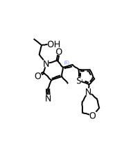 CC1=C(C#N)C(=O)N(CC(C)O)C(=O)/C1=C/c1ccc(N2CCOCC2)s1